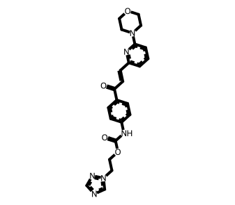 O=C(Nc1ccc(C(=O)/C=C/c2cccc(N3CCOCC3)n2)cc1)OCCn1cncn1